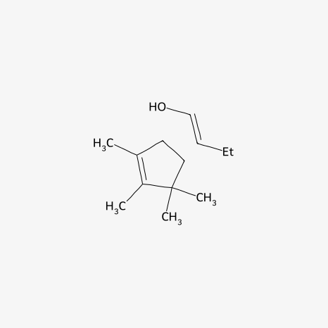 CC1=C(C)C(C)(C)CC1.CCC=CO